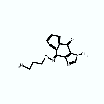 Cn1cnc2c1C(=O)c1ccccc1/C2=N\OCCCN